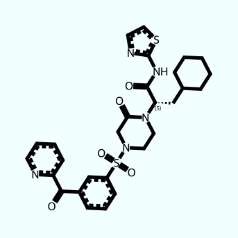 O=C(c1cccc(S(=O)(=O)N2CCN([C@@H](CC3CCCCC3)C(=O)Nc3nccs3)C(=O)C2)c1)c1ccccn1